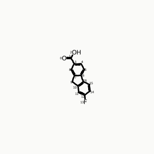 O=C(O)c1ccc2c(c1)Cc1cc(F)ccc1-2